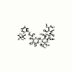 COc1cccc2c1C(=O)c1c(O)c3c(c(O)c1C2=O)C[C@@](O)(C(C)=O)C[C@@H]3OC1CC(NC(=O)OCc2ccccc2O[Si](C)(C)C(C)(C)C)C(O)C(C)O1